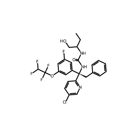 CCC(CO)NC(=O)N[C@@](Cc1ccccc1)(c1cc(F)cc(OC(F)(F)C(F)F)c1)c1ccc(Cl)cn1